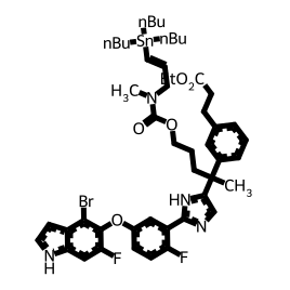 CCC[CH2][Sn](/[CH]=C/CN(C)C(=O)OCCCC(C)(c1cccc(CCC(=O)OCC)c1)c1cnc(-c2cc(Oc3c(F)cc4[nH]ccc4c3Br)ccc2F)[nH]1)([CH2]CCC)[CH2]CCC